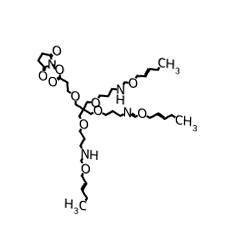 CCC=CCO/C=N/CCCOCC(COCCCNCOCC=CCC)(COCCCNCOCC=CCC)COCCC(=O)ON1C(=O)CCC1=O